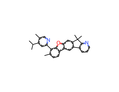 Cc1cnc(-c2c(C)ccc3c2oc2cc4c(cc23)-c2cccnc2C4(C)C)cc1C(C)C